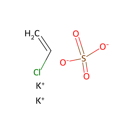 C=CCl.O=S(=O)([O-])[O-].[K+].[K+]